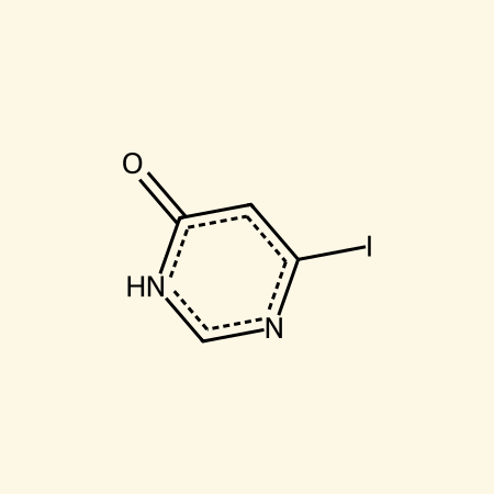 O=c1cc(I)nc[nH]1